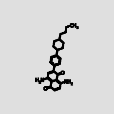 CCCCC1CCC(c2ccc(C3=CC(N)=C4C(=O)C=CC(N)=C4C3=O)cc2)CC1